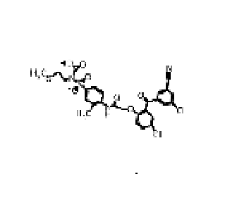 COCCN(C(=O)O)S(=O)(=O)c1ccc(NC(=O)COc2ccc(Cl)cc2C(=O)c2cc(Cl)cc(C#N)c2)c(C)c1